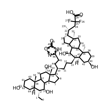 CC[C@H]1[C@@H](O)C2C3CC[C@H]([C@H](CCC[C@H]4[C@@H](O)C5C6CC[C@H]([C@H](C)CC(F)(F)C(=O)O)[C@@]6(C)CCC5[C@@]5(C)CC[C@@H](O)C[C@@H]45)CCc4noc(=O)[nH]4)[C@@]3(C)[C@@H](O)CC2[C@@]2(C)CC[C@@H](O)C[C@@H]12